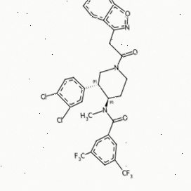 CN(C(=O)c1cc(C(F)(F)F)cc(C(F)(F)F)c1)[C@@H]1CCN(C(=O)Cc2noc3ccccc23)C[C@H]1c1ccc(Cl)c(Cl)c1